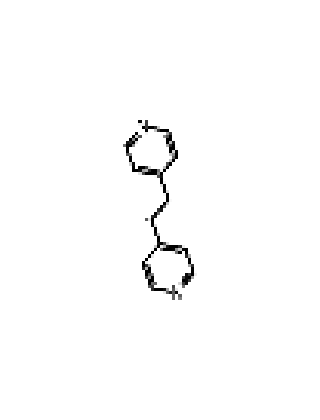 [CH](Cc1ccncc1)c1ccncc1